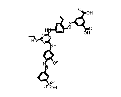 CCNc1nc(Nc2ccc(/N=N/c3cc(C(=O)O)cc(C(=O)O)c3)c(CC)c2)nc(Nc2ccc(/N=N/c3cccc(S(=O)(=O)O)c3)c(OC)c2)n1